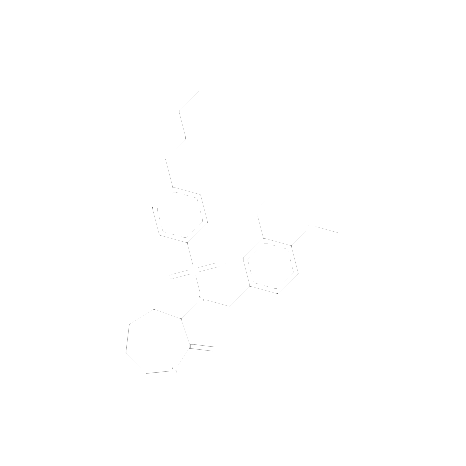 CCCCc1ccc(S(=O)(=O)N(Cc2ccc(OC)c(OC)c2)C2CCCCNC2=O)cc1